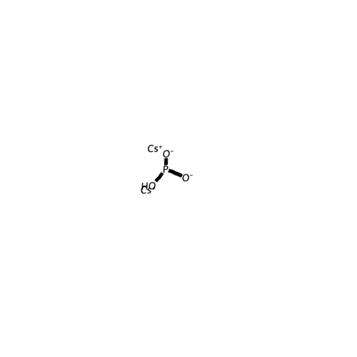 [Cs+].[Cs+].[O-]P([O-])O